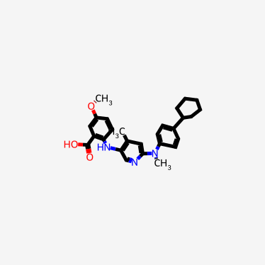 COc1ccc(Nc2cnc(N(C)c3ccc(C4CCCCC4)cc3)cc2C)c(C(=O)O)c1